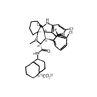 CN1[C@@H](C(=O)NC2CC[C@@]3(C(=O)O)CCCC2C3)[C@H](c2cccc(Cl)c2F)[C@]2(C(=O)Nc3cc(Cl)ncc32)C12CCCCC2